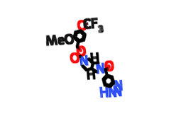 COc1cc(OC(F)(F)F)ccc1COC(=O)N1CC[C@H]2CN(C(=O)c3ccc4[nH]nnc4c3)C[C@@H]2C1